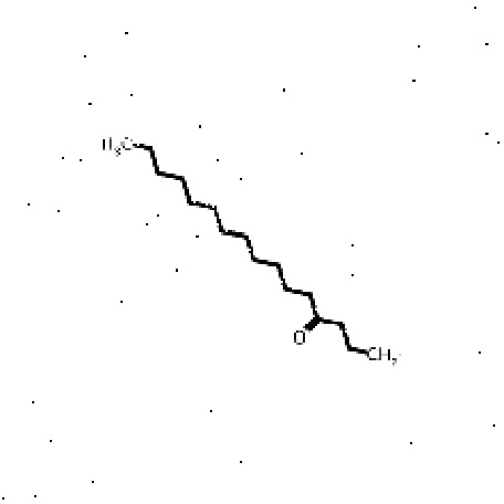 [CH2]CCC(=O)CCCCCCCCCCCC